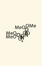 COc1ccc(S(=O)(=O)N(C)CCN(C2CC2)S(=O)(=O)c2ccc(OC)c(OC)c2)cc1OC